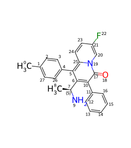 Cc1ccc(-c2c([C@H](C)N)c(-c3ccccc3)c(=O)n3cc(F)ccc23)cc1